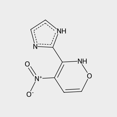 O=[N+]([O-])C1=C(c2ncc[nH]2)NOC=C1